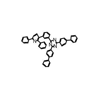 c1ccc(-c2ccc(-c3nc(-c4ccc(-c5ccccc5)cc4)nc(-c4cccc(-c5ccc(-c6ccccc6)nc5-c5ccccc5)c4)n3)cc2)cc1